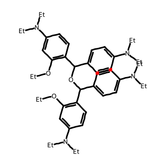 CCOc1cc(N(CC)CC)ccc1C(OC(c1ccc(N(CC)CC)cc1)c1ccc(N(CC)CC)cc1OCC)c1ccc(N(CC)CC)cc1